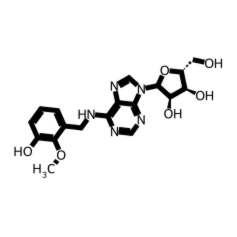 COc1c(O)cccc1CNc1ncnc2c1ncn2C1O[C@H](CO)[C@@H](O)[C@H]1O